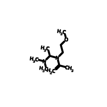 C=C(C)N(CCOC)C(C)N(C)C